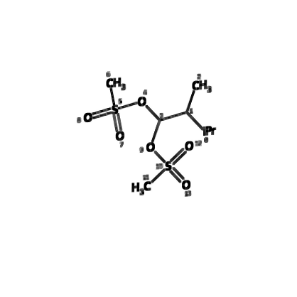 CC(C)C(C)C(OS(C)(=O)=O)OS(C)(=O)=O